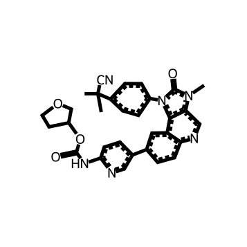 Cn1c(=O)n(-c2ccc(C(C)(C)C#N)cc2)c2c3cc(-c4ccc(NC(=O)OC5CCOC5)nc4)ccc3ncc21